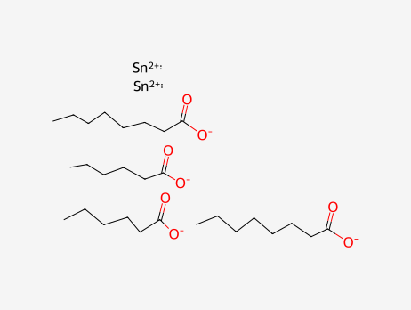 CCCCCC(=O)[O-].CCCCCC(=O)[O-].CCCCCCCC(=O)[O-].CCCCCCCC(=O)[O-].[Sn+2].[Sn+2]